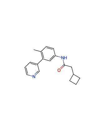 Cc1ccc(NC(=O)CC2CCC2)cc1-c1cccnc1